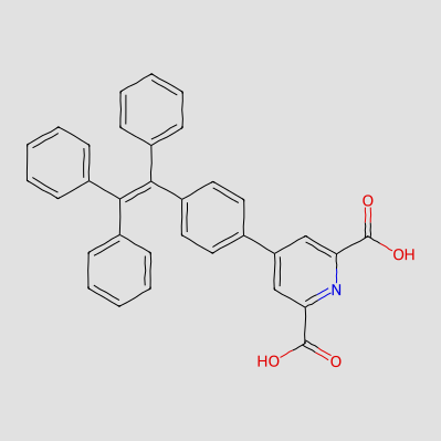 O=C(O)c1cc(-c2ccc(C(=C(c3ccccc3)c3ccccc3)c3ccccc3)cc2)cc(C(=O)O)n1